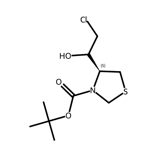 CC(C)(C)OC(=O)N1CSC[C@@H]1C(O)CCl